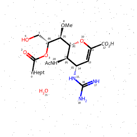 CCCCCCCC(=O)O[C@H](CO)[C@@H](OC)[C@@H]1OC(C(=O)O)=C[C@H](NC(=N)N)[C@H]1NC(C)=O.O